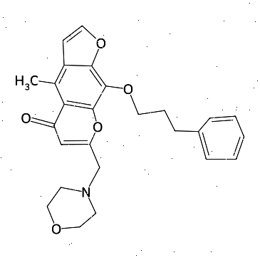 Cc1c2ccoc2c(OCCCc2ccccc2)c2oc(CN3CCOCC3)cc(=O)c12